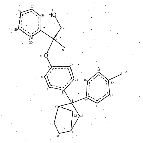 CC(CO)(Oc1ccc(C2(c3ccc(I)cc3)CC3CCC2C3)cc1)c1ccccn1